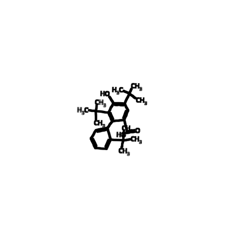 CC(C)(C)c1ccccc1-c1c(C(=O)O)cc(C(C)(C)C)c(O)c1C(C)(C)C